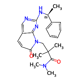 C[C@H](Nc1ncc2ccc(=O)n(CC(C)(C)C(=O)N(C)C)c2n1)c1ccccc1